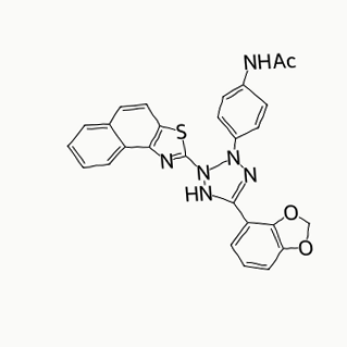 CC(=O)Nc1ccc(N2N=C(c3cccc4c3OCO4)NN2c2nc3c(ccc4ccccc43)s2)cc1